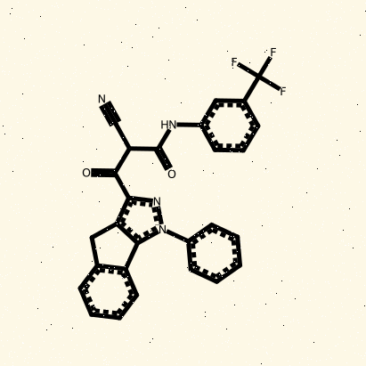 N#CC(C(=O)Nc1cccc(C(F)(F)F)c1)C(=O)c1nn(-c2ccccc2)c2c1Cc1ccccc1-2